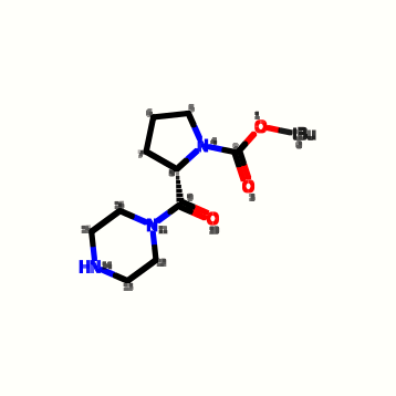 CC(C)(C)OC(=O)N1CCC[C@H]1C(=O)N1CCNCC1